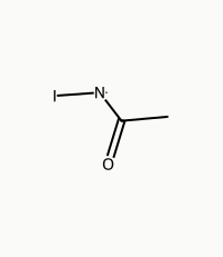 CC(=O)[N]I